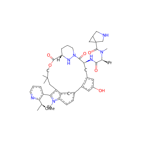 CCn1c(-c2cccnc2[C@H](C)OC)c2c3cc(ccc31)-c1cc(O)cc(c1)C[C@H](NC(=O)[C@H](C(C)C)N(C)C(=O)C13CNCC1C3)C(=O)N1CCC[C@H](N1)C(=O)OCC(C)(C)C2